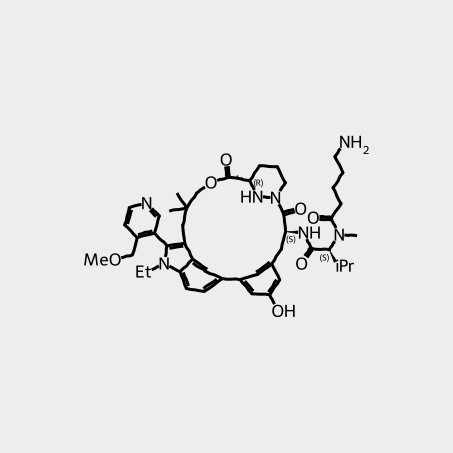 CCn1c(-c2cnccc2COC)c2c3cc(ccc31)-c1cc(O)cc(c1)C[C@H](NC(=O)[C@H](C(C)C)N(C)C(=O)CCCCN)C(=O)N1CCC[C@@](C)(N1)C(=O)OCC(C)(C)C2